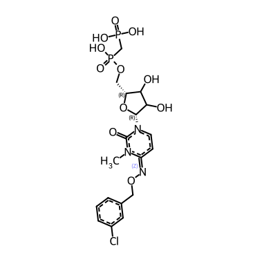 Cn1c(=O)n([C@@H]2O[C@H](COP(=O)(O)CP(=O)(O)O)C(O)C2O)cc/c1=N/OCc1cccc(Cl)c1